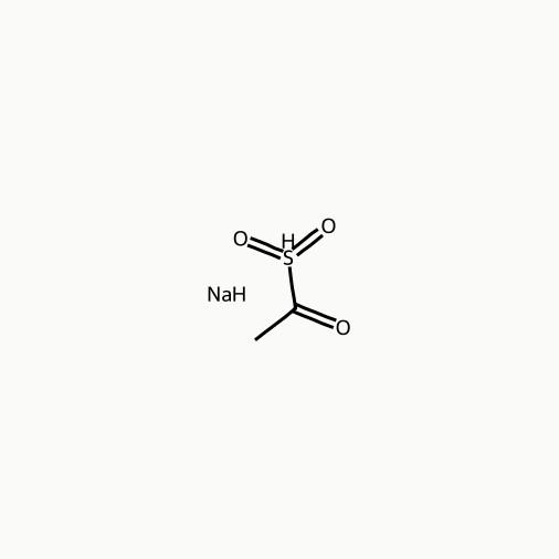 CC(=O)[SH](=O)=O.[NaH]